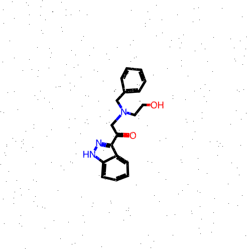 O=C(CN(CCO)Cc1ccccc1)c1n[nH]c2ccccc12